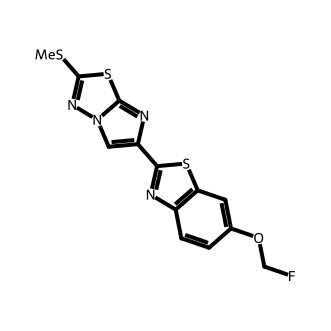 CSc1nn2cc(-c3nc4ccc(OCF)cc4s3)nc2s1